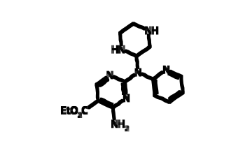 CCOC(=O)c1cnc(N(c2ccccn2)C2CNCCN2)nc1N